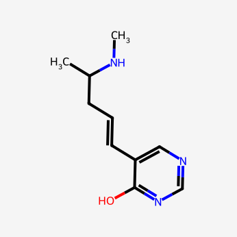 CNC(C)C/C=C/c1cncnc1O